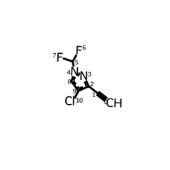 C#Cc1nn(C(F)F)cc1Cl